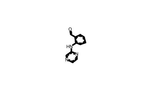 O=Cc1ccccc1Nc1cnccn1